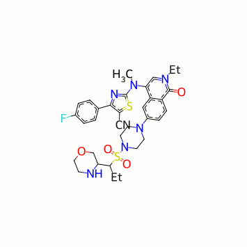 CCC(C1COCCN1)S(=O)(=O)N1CCN(c2ccc3c(=O)n(CC)cc(N(C)c4nc(-c5ccc(F)cc5)c(C#N)s4)c3c2)CC1